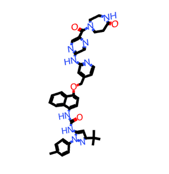 Cc1ccc(-n2nc(C(C)(C)C)cc2NC(=O)Nc2ccc(OCc3ccnc(Nc4cnc(C(=O)N5CCNC(=O)CC5)cn4)c3)c3ccccc23)cc1